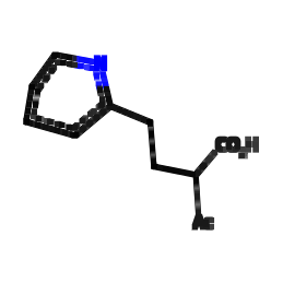 CC(=O)C(CCc1ccccn1)C(=O)O